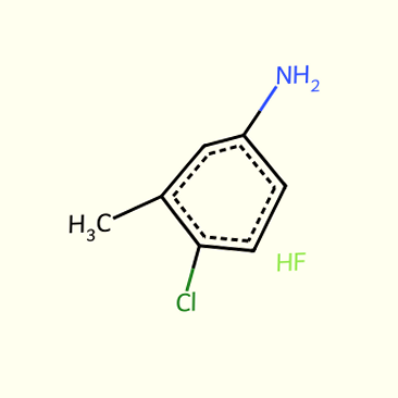 Cc1cc(N)ccc1Cl.F